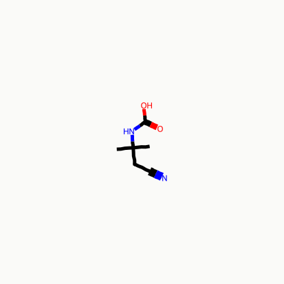 CC(C)(CC#N)NC(=O)O